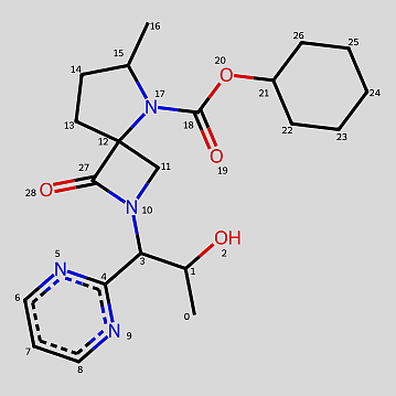 CC(O)C(c1ncccn1)N1CC2(CCC(C)N2C(=O)OC2CCCCC2)C1=O